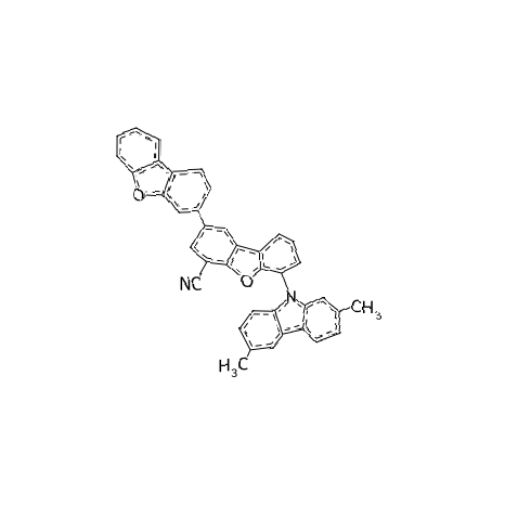 Cc1ccc2c(c1)c1ccc(C)cc1n2-c1cccc2c1oc1c(C#N)cc(-c3ccc4c(c3)oc3ccccc34)cc12